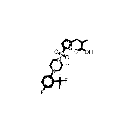 CC(Cc1ccc(S(=O)(=O)N2CCN(c3ccc(F)cc3C(F)(F)F)C[C@H]2C)s1)C(=O)O